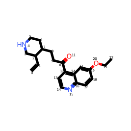 C=CC1CNCCC1CCC(=O)c1ccnc2ccc(OCC)cc12